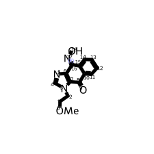 COCCn1cnc2c1C(=O)c1ccccc1/C2=N\O